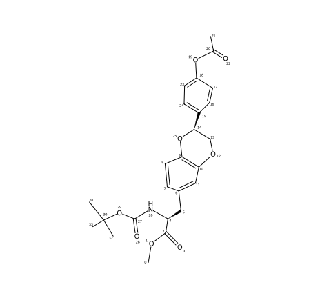 COC(=O)[C@H](Cc1ccc2c(c1)OC[C@H](c1ccc(OC(C)=O)cc1)O2)NC(=O)OC(C)(C)C